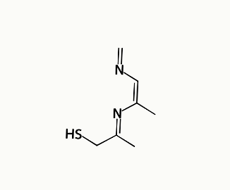 C=N/C=C(C)\N=C(/C)CS